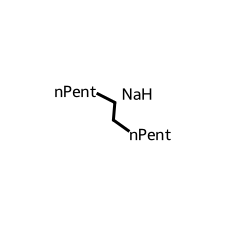 [CH2]CCCCCCCCCCC.[NaH]